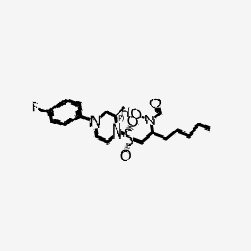 CCCCCC(CS(=O)(=O)N1CCN(c2ccc(F)cc2)C[C@H]1C)N(O)C=O